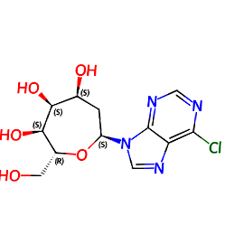 OC[C@H]1O[C@H](n2cnc3c(Cl)ncnc32)C[C@H](O)[C@H](O)[C@@H]1O